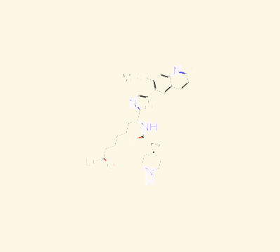 CCC(=O)CCCCC[C@H](NC(=O)[C@H]1CC12CCNCC2)c1ncc(-c2cc3ccc(C)nc3cc2OC)o1